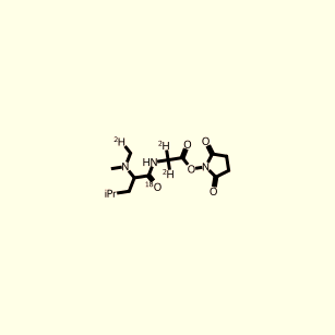 [2H]CN(C)C(CC(C)C)C(=[18O])NC([2H])([2H])C(=O)ON1C(=O)CCC1=O